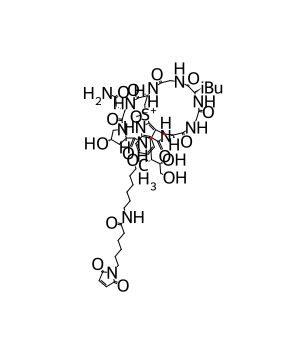 CC[C@H](C)[C@@H]1NC(=O)CNC(=O)[C@H]2Cc3c([nH]c4cc(OCCCCCCNC(=O)CCCCCN5C(=O)C=CC5=O)ccc34)[S+]([O-])C[C@H](NC(=O)CNC1=O)C(=O)N[C@@H](CC(N)=O)C(=O)N1C[C@H](O)C[C@H]1C(=O)N[C@@H]([C@@H](C)[C@@H](O)CO)C(=O)N2